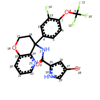 O=C(NC1(c2ccc(OC(F)(F)F)c(F)c2)CCOc2cccnc21)c1cc(Br)c[nH]1